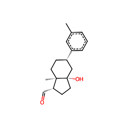 Cc1cccc([C@H]2CC[C@]3(C)[C@@H](C=O)CC[C@]3(O)C2)c1